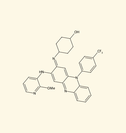 COc1ncccc1Nc1cc2nc3ccccc3n(-c3ccc(C(F)(F)F)cc3)c-2c/c1=N\C1CCC(O)CC1